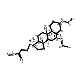 COC(=O)CCC[C@H]1CC[C@H]2[C@@H]3C[C@H](OSI)[C@@H]4C[C@H](OSI)CC[C@]4(C)[C@H]3CC[C@]12C